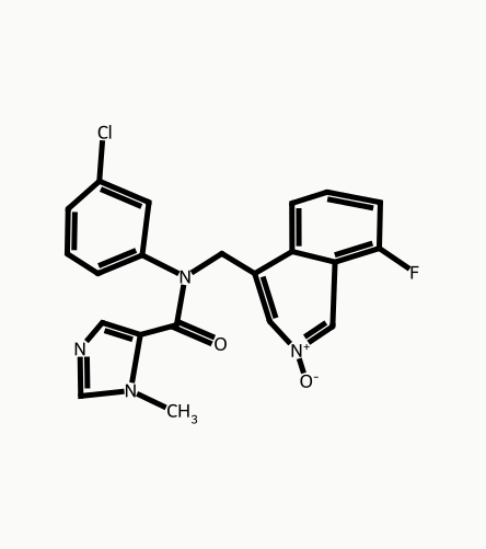 Cn1cncc1C(=O)N(Cc1c[n+]([O-])cc2c(F)cccc12)c1cccc(Cl)c1